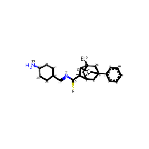 CCC12CC3CC(c4ccccc4)(CC1C3C(=S)/N=C/C1CCC(N)CC1)C2